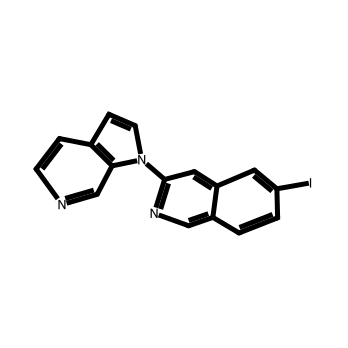 Ic1ccc2cnc(-n3ccc4ccncc43)cc2c1